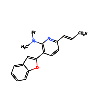 CC(C)N(C)c1nc(/C=C/C(=O)O)ccc1-c1cc2ccccc2o1